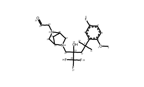 COc1ccc(F)cc1C(C)(C)CC(O)(CN1CC2CC1CN2CC=O)C(F)(F)F